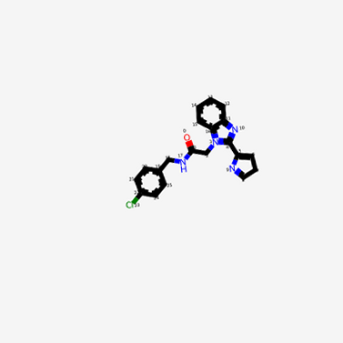 O=C(Cn1c(C2=CCC=N2)nc2ccccc21)NCc1ccc(Cl)cc1